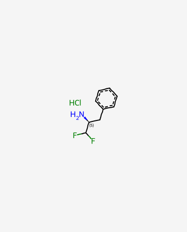 Cl.N[C@@H](Cc1ccccc1)C(F)F